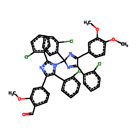 COc1cc(-c2nc(-c3ccccc3Cl)n(C3(c4ccccc4Cl)N=C(c4ccc(OC)c(OC)c4)C(c4ccccc4Cl)=N3)c2-c2ccccc2Cl)ccc1C=O